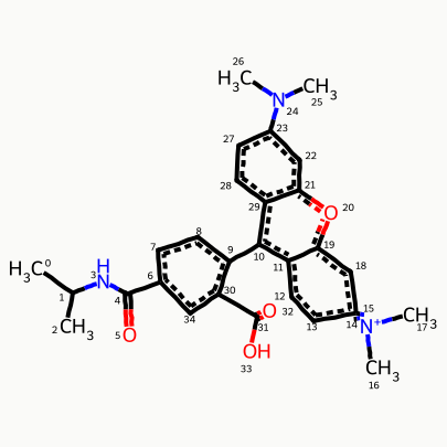 CC(C)NC(=O)c1ccc(-c2c3ccc(=[N+](C)C)cc-3oc3cc(N(C)C)ccc23)c(C(=O)O)c1